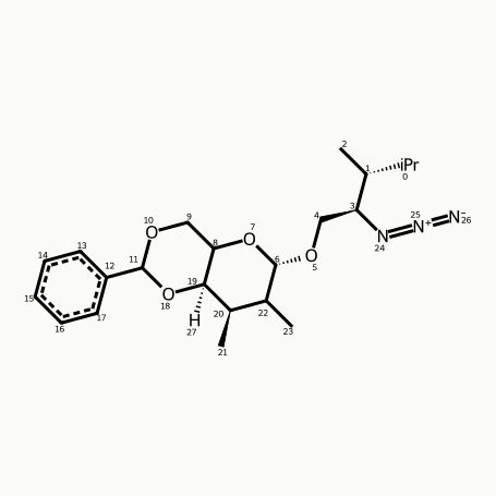 CC(C)[C@@H](C)[C@H](CO[C@H]1OC2COC(c3ccccc3)O[C@@H]2[C@H](C)C1C)N=[N+]=[N-]